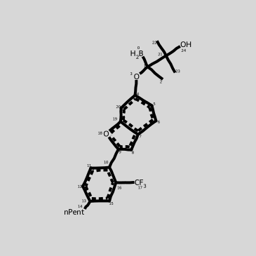 BC(C)(Oc1ccc2cc(-c3ccc(CCCCC)cc3C(F)(F)F)oc2c1)C(C)(C)O